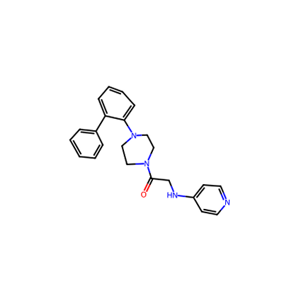 O=C(CNc1ccncc1)N1CCN(c2ccccc2-c2ccccc2)CC1